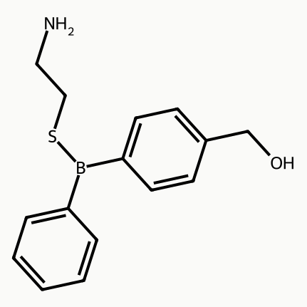 NCCSB(c1ccccc1)c1ccc(CO)cc1